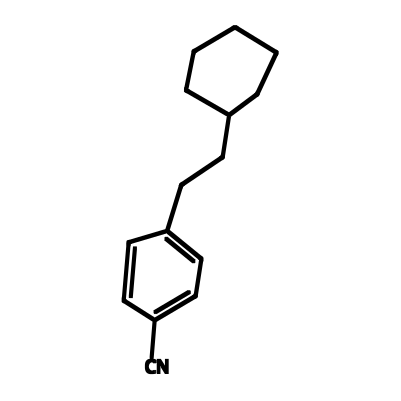 N#Cc1ccc(CCC2CCCCC2)cc1